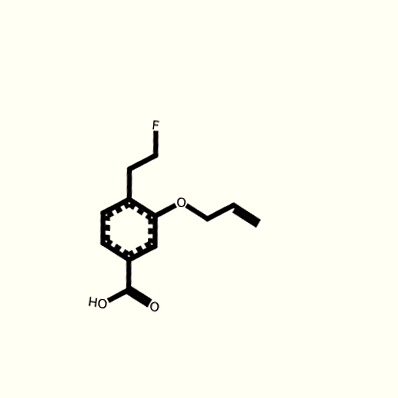 C=CCOc1cc(C(=O)O)ccc1CCF